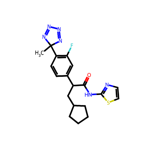 CC1(c2ccc(C(CC3CCCC3)C(=O)Nc3nccs3)cc2F)N=NN=N1